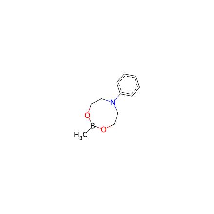 CB1OCCN(c2ccccc2)CCO1